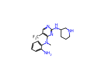 CN(c1ccccc1N)c1nc(NC2CCCNC2)ncc1C(F)(F)F